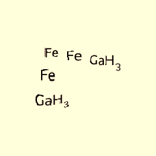 [Fe].[Fe].[Fe].[GaH3].[GaH3]